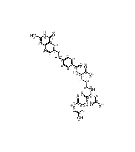 Nc1nc2ncc(CNc3ccc(C(=O)N[C@@H](CCCN[C@H](CC(=O)O)C(=O)N[C@H](CC(=O)O)C(=O)O)C(=O)O)cc3)nc2c(=O)[nH]1